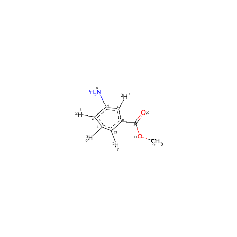 [2H]c1c([2H])c(N)c([2H])c(C(=O)OC)c1[2H]